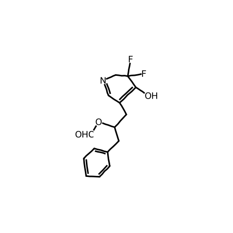 O=COC(CC1=C(O)C(F)(F)CN=C1)Cc1ccccc1